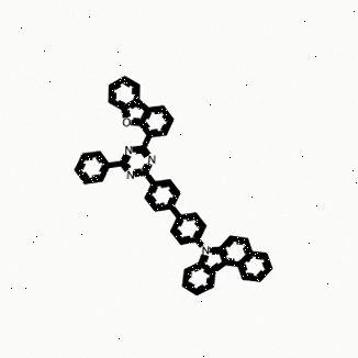 c1ccc(-c2nc(-c3ccc(-c4ccc(-n5c6ccccc6c6c7ccccc7ccc65)cc4)cc3)nc(-c3cccc4c3oc3ccccc34)n2)cc1